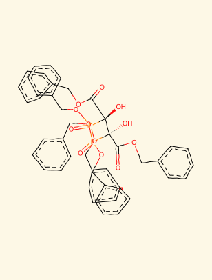 O=C(OCc1ccccc1)[C@](O)([C@@](O)(C(=O)OCc1ccccc1)P(=O)(OCc1ccccc1)OCc1ccccc1)P(=O)(OCc1ccccc1)OCc1ccccc1